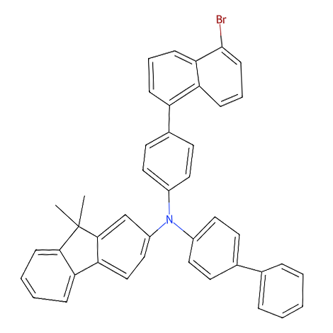 CC1(C)c2ccccc2-c2ccc(N(c3ccc(-c4ccccc4)cc3)c3ccc(-c4cccc5c(Br)cccc45)cc3)cc21